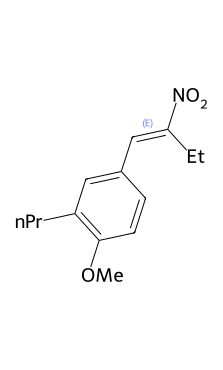 CCCc1cc(/C=C(\CC)[N+](=O)[O-])ccc1OC